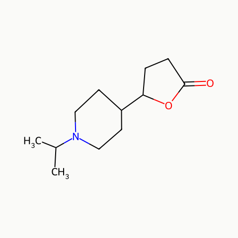 CC(C)N1CCC(C2CCC(=O)O2)CC1